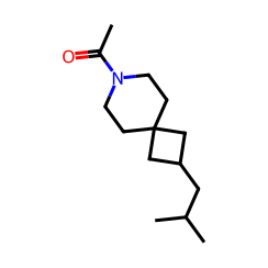 CC(=O)N1CCC2(CC1)CC(CC(C)C)C2